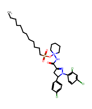 CCCCCCCCCCCCS(=O)(=O)O[N+]1(NC(=O)C2=NN(c3ccc(Cl)cc3Cl)C(c3ccc(Cl)cc3)C2)CCCCC1